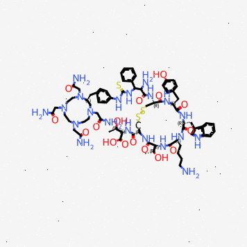 C[C@@H](O)[C@H](NC(=O)[C@@H]1CSSC[C@H](NC(=O)C(N)C(NC(=S)Nc2ccc(C[C@H]3CN(CC(N)=O)CCN(CC(N)=O)CCN(CC(N)=O)CCN3CC(N)=O)cc2)c2ccccc2)C(=O)N[C@@H](Cc2ccc(O)cc2)C(=O)N[C@H](Cc2c[nH]c3ccccc23)C(=O)N[C@@H](CCCCN)C(=O)N[C@@H]([C@@H](C)O)C(=O)N1)C(=O)O